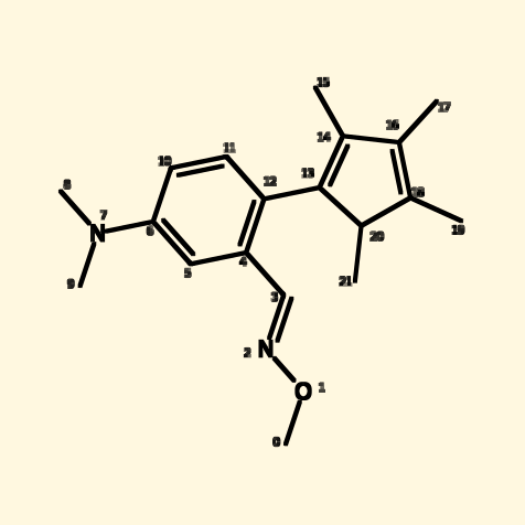 CON=Cc1cc(N(C)C)ccc1C1=C(C)C(C)=C(C)C1C